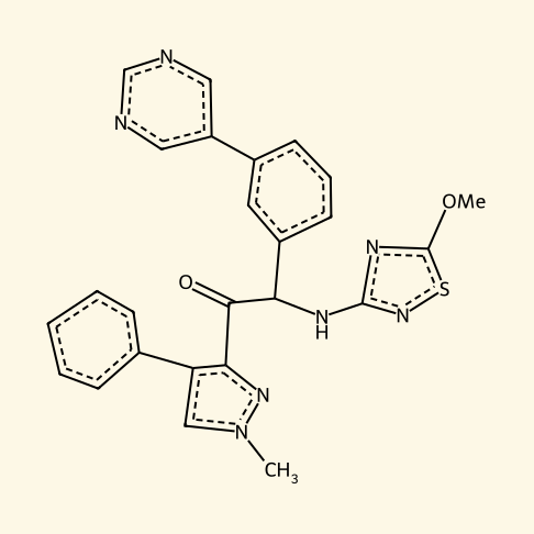 COc1nc(NC(C(=O)c2nn(C)cc2-c2ccccc2)c2cccc(-c3cncnc3)c2)ns1